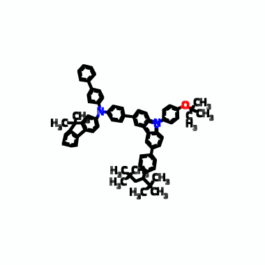 CC(C)(C)CC(c1ccc(-c2ccc3c(c2)c2cc(-c4ccc(N(c5ccc(-c6ccccc6)cc5)c5ccc6c(c5)C(C)(C)c5ccccc5-6)cc4)ccc2n3-c2ccc(OC(C)(C)C)cc2)cc1)C(C)(C)C